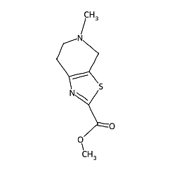 COC(=O)c1nc2c(s1)CN(C)CC2